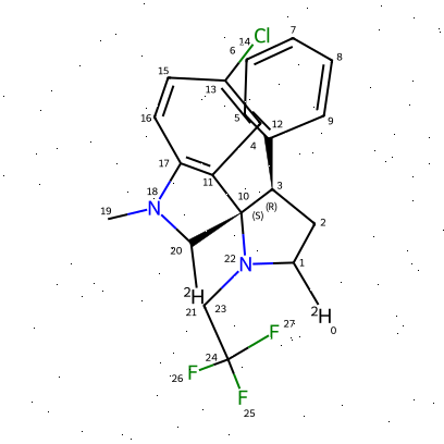 [2H]C1C[C@H](c2ccccc2)[C@@]2(c3cc(Cl)ccc3N(C)C2[2H])N1CC(F)(F)F